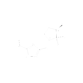 C[C@@H]1CC[C@@H](Cc2noc(CO)n2)C1(C)C